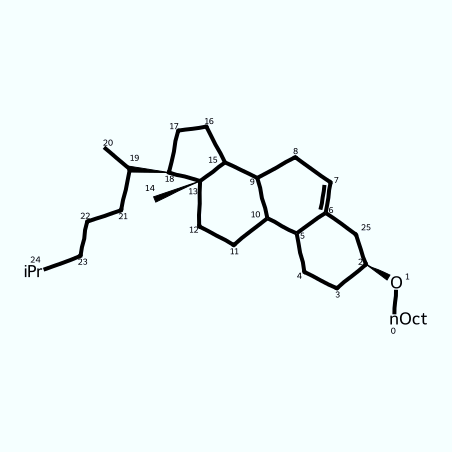 CCCCCCCCO[C@H]1CCC2C(=CCC3C2CC[C@@]2(C)C3CC[C@@H]2C(C)CCCC(C)C)C1